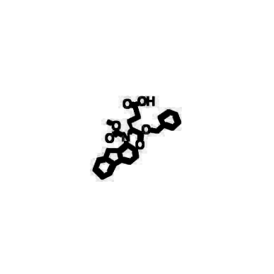 COC(=O)N(c1cccc2c1Cc1ccccc1-2)[C@@H](CCC(=O)O)C(=O)OCc1ccccc1